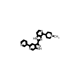 CN1CCC(c2nccc3[nH]c(-c4n[nH]c5cnc(-c6cccnc6)cc45)nc23)CC1